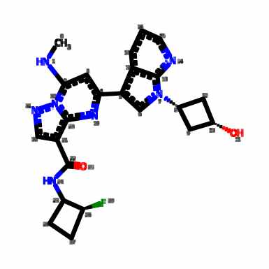 CNc1cc(-c2cn([C@H]3C[C@@H](O)C3)c3ncccc23)nc2c(C(=O)NC3CC[C@@H]3F)cnn12